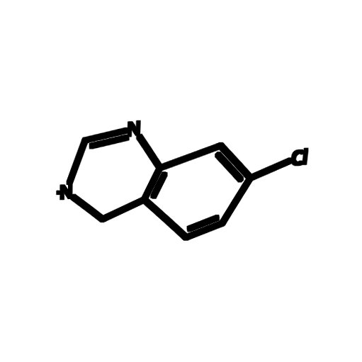 Clc1ccc2c(c1)N=C[N]C2